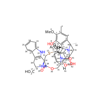 COc1c(C)cc2c(c1O)[C@H]1[C@@H]3[C@@H]4SC[C@]5(N[C@H](C(=O)O)Cc6c5[nH]c5ccccc65)C(=O)OC[C@@H](c5c6c(c(C)c(OC(C)=O)c54)OCO6)N3C3(O)CN1[C@]2(C)C3